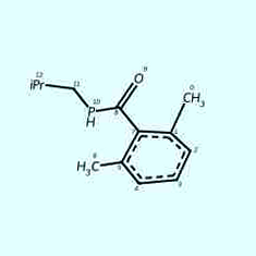 Cc1cccc(C)c1C(=O)PCC(C)C